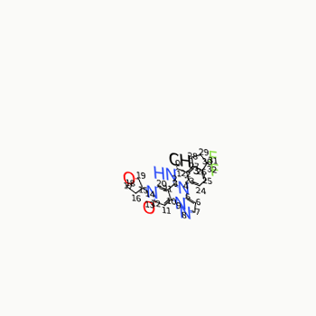 C[C@@H](Nc1nc2ccnn2c2cc(=O)n([C@H]3CCOC3)cc12)c1cccc2c1CCC2(F)F